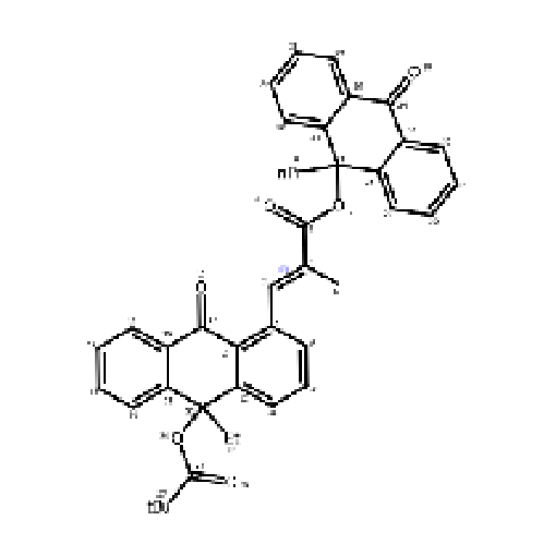 CCCC1(OC(=O)/C(C)=C/c2cccc3c2C(=O)c2ccccc2C3(CC)OC(=O)C(C)(C)C)c2ccccc2C(=O)c2ccccc21